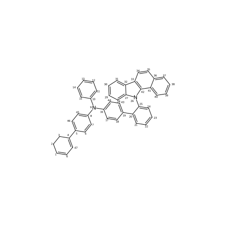 C1=CCCC(c2ccc(N(c3ccccc3)c3ccc(-c4ccccc4-n4c5ccccc5c5ccc6ccccc6c54)cc3)cc2)=C1